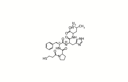 CC(C)CC(NC(=O)C(Cc1c[nH]cn1)NC(=O)[C@H](Cc1ccccc1)NC(=O)C1CCCN1C(=O)CCS)C(=O)O